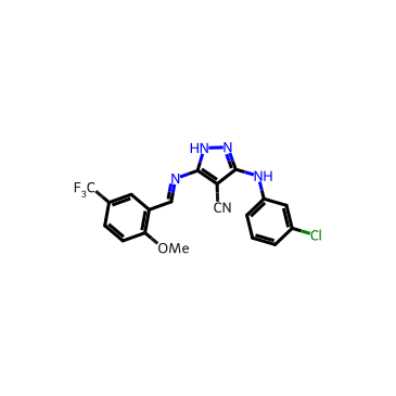 COc1ccc(C(F)(F)F)cc1/C=N/c1[nH]nc(Nc2cccc(Cl)c2)c1C#N